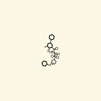 Cc1cc(-c2ccccc2)cc(C(=O)NNS(=O)(=O)C2CCN(Cc3ccccc3)C2)c1F